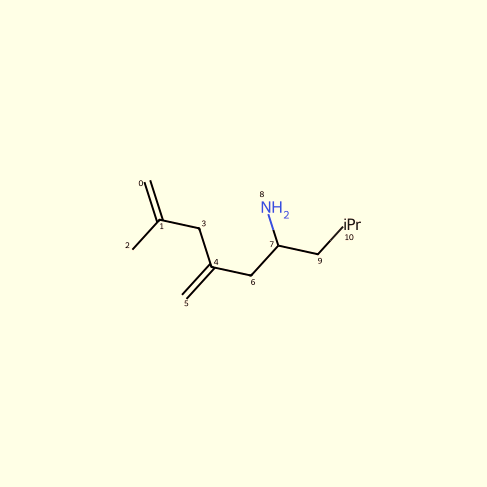 C=C(C)CC(=C)CC(N)CC(C)C